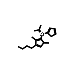 CCCCC1=CC(C)[C]([Zr]([C]2=CC=CC2)=[C](C)C)=C1C